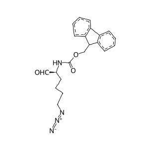 [N-]=[N+]=NCCCC[C@@H](C=O)NC(=O)OCC1c2ccccc2-c2ccccc21